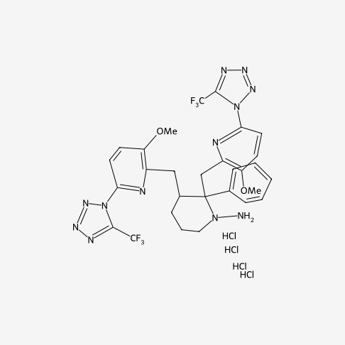 COc1ccc(-n2nnnc2C(F)(F)F)nc1CC1CCCN(N)C1(Cc1nc(-n2nnnc2C(F)(F)F)ccc1OC)c1ccccc1.Cl.Cl.Cl.Cl